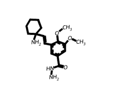 COc1cc(C(=O)NN)cc(C=CC2(N)CCCCC2)c1OC